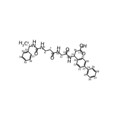 C[C@H](NC(=O)NCCC(=O)NCC(=O)NC(CC(=O)O)c1ccc(-c2ccccc2)cc1)c1ccccc1